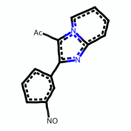 CC(=O)c1c(-c2cccc(N=O)c2)nc2ccccn12